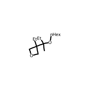 CCCCCCOC(C)(CC)C1(CC)COC1